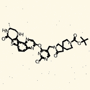 C[C@@H]1CNc2c(sc3ccc4nc(Oc5nc(Cl)ncc5CN5CC6(CCN(C(=O)OC(C)(C)C)CC6)CC5=O)cnc4c23)C(=O)N1